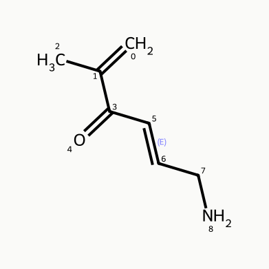 C=C(C)C(=O)/C=C/CN